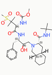 COC(=O)N[C@H](C(=O)N[C@@H](Cc1ccccc1)[C@H](O)CN1C[C@H]2CCCC[C@H]2C[C@H]1C(=O)NC(C)(C)C)C(C)(C)S(C)(=O)=O